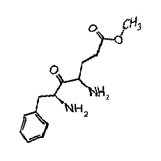 COC(=O)CCC(N)C(=O)[C@@H](N)Cc1ccccc1